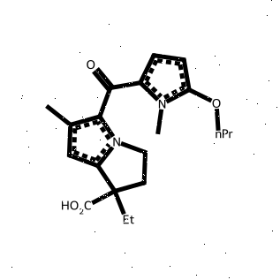 CCCOc1ccc(C(=O)c2c(C)cc3n2CCC3(CC)C(=O)O)n1C